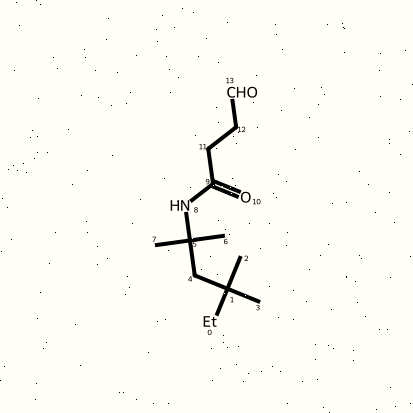 CCC(C)(C)CC(C)(C)NC(=O)CCC=O